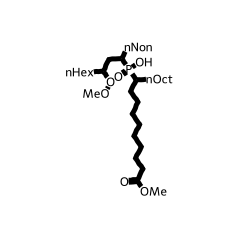 CCCCCCCCCC(CC(CCCCCC)OOC)P(=O)(O)C(CCCCCCCC)CCCCCCCCC(=O)OC